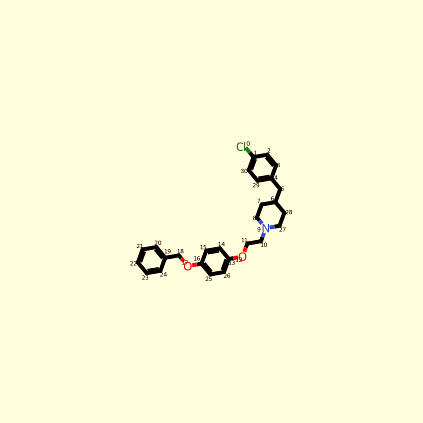 Clc1ccc(CC2CCN(CCOc3ccc(OCc4ccccc4)cc3)CC2)cc1